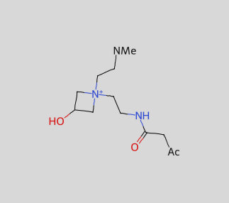 CNCC[N+]1(CCNC(=O)CC(C)=O)CC(O)C1